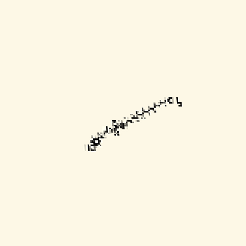 CCCCCCCCCCCCCCCCCCNC(=O)C(=O)NCCCSc1ccc(O)cc1